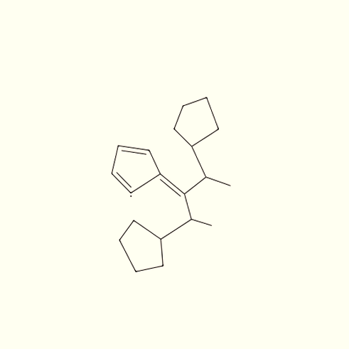 CC(C(=C1[C]=CC=C1)C(C)C1CCCC1)C1CCCC1